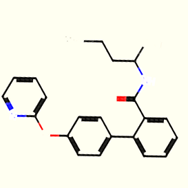 CSCCC(NC(=O)c1ccccc1-c1ccc(Oc2ccccn2)cc1)C(=O)O